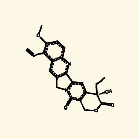 C=Cc1c(OC)ccc2nc3c(cc12)Cn1c-3cc2c(c1=O)COC(=O)[C@]2(O)CC